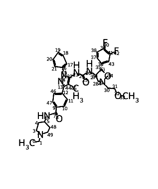 CCN1CCC(NC(=O)c2ccc(-c3nn(-c4ccccc4)c(NC(=O)N[C@@H]4CN(CCOC)O[C@H]4c4ccc(F)c(F)c4)c3C)cc2)CC1